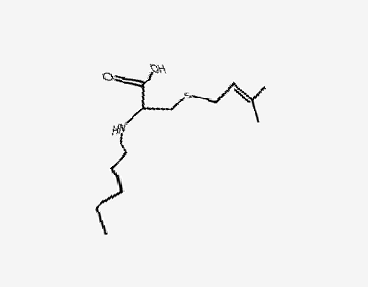 CCCCCNC(CSCC=C(C)C)C(=O)O